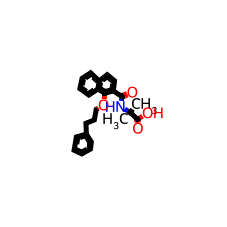 CC(C)(NC(=O)c1ccc2ccccc2c1OCCCc1ccccc1)C(=O)O